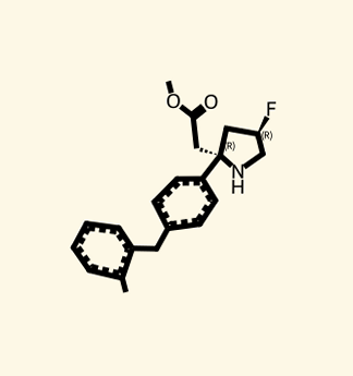 COC(=O)C[C@]1(c2ccc(Cc3ccccc3C)cc2)C[C@@H](F)CN1